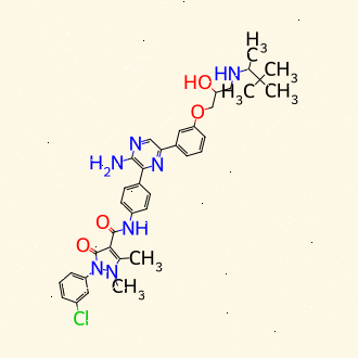 Cc1c(C(=O)Nc2ccc(-c3nc(-c4cccc(OCC(O)CNC(C)C(C)(C)C)c4)cnc3N)cc2)c(=O)n(-c2cccc(Cl)c2)n1C